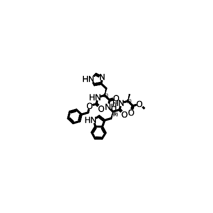 COC(=O)[C@H](C)NC(=O)[C@@H](Cc1c[nH]c2ccccc12)NC(=O)[C@H](Cc1c[nH]cn1)NC(=O)OCc1ccccc1